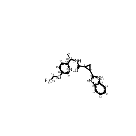 C[C@@H](NC(=O)C1CC1c1nc2ccccc2[nH]1)c1ccc(OCC(F)(F)F)cn1